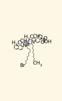 CCCCCCCCCC(Br)[N+]1=C(/C=C/C=C2\N(CCCCCCCCCCBr)c3ccc4ccccc4c3C2(C)C)C(C)(C)c2c1ccc1c(S(=O)(=O)O)cccc21